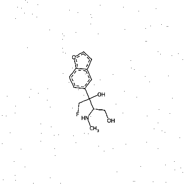 CNC(CO)C(O)(CF)c1ccc2occc2c1